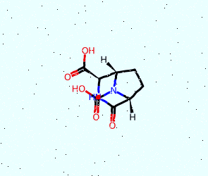 O=C1N[C@@H](C(=O)O)[C@@H]2CC[C@H]1N2C(=O)O